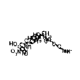 CC(CCC(=O)OCCOCCOCCN=[N+]=[N-])C1CC[C@H]2[C@@H]3CC[C@@H]4C[C@H](OC(=O)[C@H](CC(=O)O)Nc5ccc([N+](=O)[O-])c6nonc56)CC[C@]4(C)[C@H]3CC[C@]12C